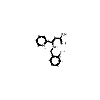 N#CC(=N)/C=C(\NCc1ccccc1F)c1ccccn1